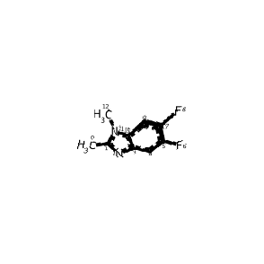 Cc1nc2cc(F)c(F)cc2n1C